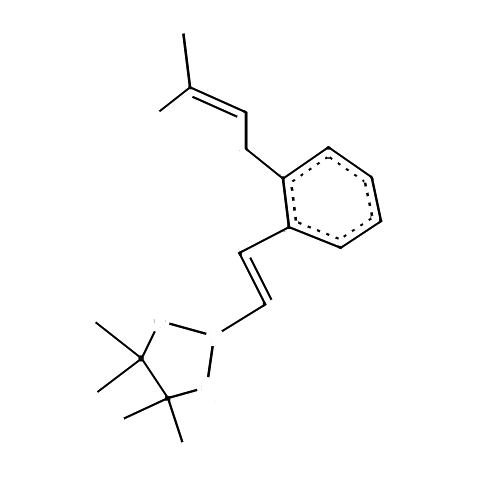 CC(C)=CCc1ccccc1/C=C/B1OC(C)(C)C(C)(C)O1